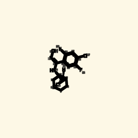 O/N=C(/N[C@@H]1CN2CCC1CC2)c1cc(F)c(Cl)cc1F